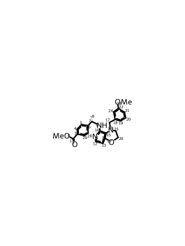 COC(=O)c1ccc([C@H](C)Nc2nccc3c2N(Cc2cccc(OC)c2)CCO3)cc1